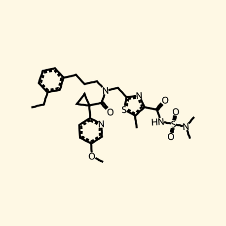 CCc1cccc(CCCN(Cc2nc(C(=O)NS(=O)(=O)N(C)C)c(C)s2)C(=O)C2(c3ccc(OC)cn3)CC2)c1